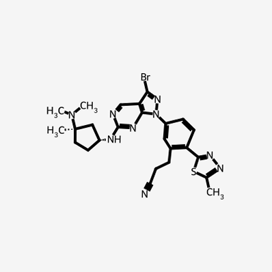 Cc1nnc(-c2ccc(-n3nc(Br)c4cnc(N[C@@H]5CC[C@@](C)(N(C)C)C5)nc43)cc2CCC#N)s1